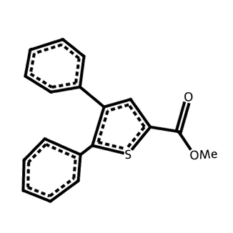 COC(=O)c1cc(-c2ccccc2)c(-c2ccccc2)s1